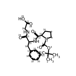 CC(C)(C)OC(=O)N1CCCC1C(=O)NC(Cc1ccccc1)C(=O)NCC(=O)O